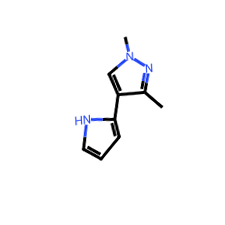 Cc1nn(C)cc1-c1ccc[nH]1